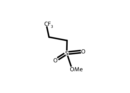 [CH2]OS(=O)(=O)CCC(F)(F)F